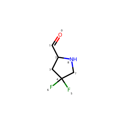 O=CC1CC(F)(F)CN1